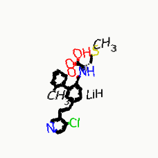 CSCC[C@H](NC(=O)c1ccc(C=Cc2cnccc2Cl)cc1-c1ccccc1C)C(=O)O.[LiH]